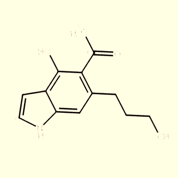 CCCCc1cc2[nH]ccc2c(O)c1C(C)=O